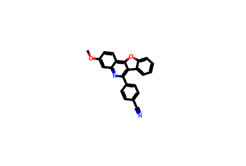 COc1ccc2c(c1)nc(-c1ccc(C#N)cc1)c1c3ccccc3oc21